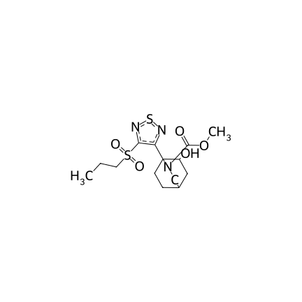 CCCS(=O)(=O)c1nsnc1C12CCC(CC1O)CN2C(=O)OC